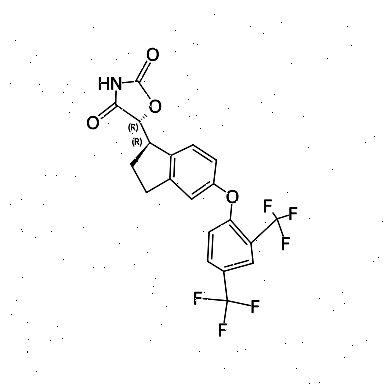 O=C1NC(=O)[C@@H]([C@@H]2CCc3cc(Oc4ccc(C(F)(F)F)cc4C(F)(F)F)ccc32)O1